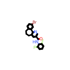 O=C(Nc1c(F)cccc1F)c1cnc2c(c1)CCCc1ccc(Br)cc1-2